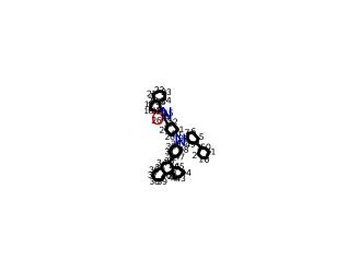 c1ccc(-c2cccc(N(c3ccc(-c4nc5c(ccc6ccccc65)o4)cc3)c3ccc(-c4cc5ccccc5c5ccccc45)cc3)c2)cc1